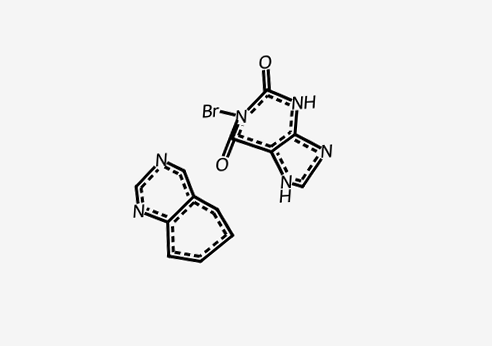 O=c1[nH]c2nc[nH]c2c(=O)n1Br.c1ccc2ncncc2c1